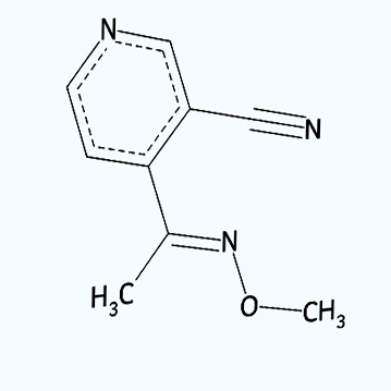 CON=C(C)c1ccncc1C#N